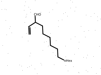 C=CC(C=O)CCCCCCCCCCCC